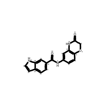 O=C1COc2ccc(NC(=O)c3ccc4cc[nH]c4c3)cc2N1